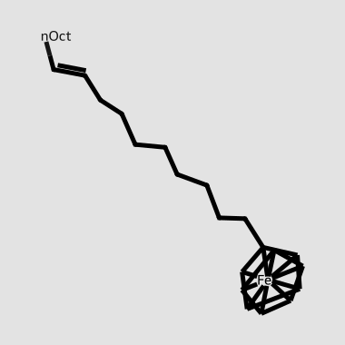 CCCCCCCCC=CCCCCCCCC[C]12[CH]3[CH]4[CH]5[CH]1[Fe]45321678[CH]2[CH]1[CH]6[CH]7[CH]28